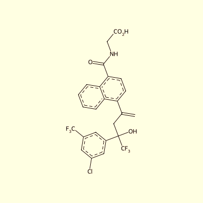 C=C(CC(O)(c1cc(Cl)cc(C(F)(F)F)c1)C(F)(F)F)c1ccc(C(=O)NCC(=O)O)c2ccccc12